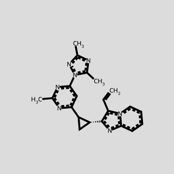 C=Cc1c([C@@H]2CC2c2cc(-n3nc(C)nc3C)nc(C)n2)nc2ccccn12